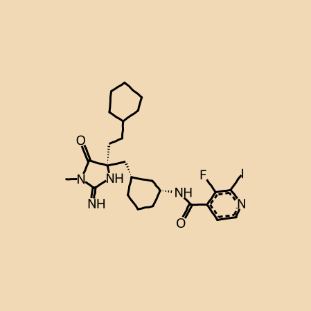 CN1C(=N)N[C@](CCC2CCCCC2)(C[C@H]2CCC[C@@H](NC(=O)c3ccnc(I)c3F)C2)C1=O